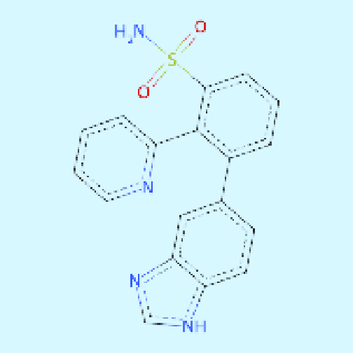 NS(=O)(=O)c1cccc(-c2ccc3[nH]cnc3c2)c1-c1ccccn1